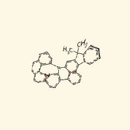 CC1(C)c2ccccc2-c2ccc(N(c3ccccc3-c3ccccc3)c3cccc4ccc5cccnc5c34)cc21